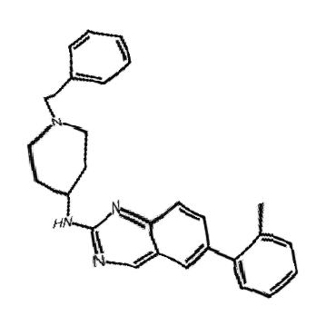 Cc1ccccc1-c1ccc2nc(NC3CCN(Cc4ccccc4)CC3)ncc2c1